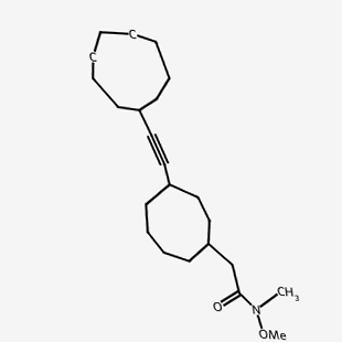 CON(C)C(=O)CC1CCCCC(C#CC2CCCCCCCC2)CC1